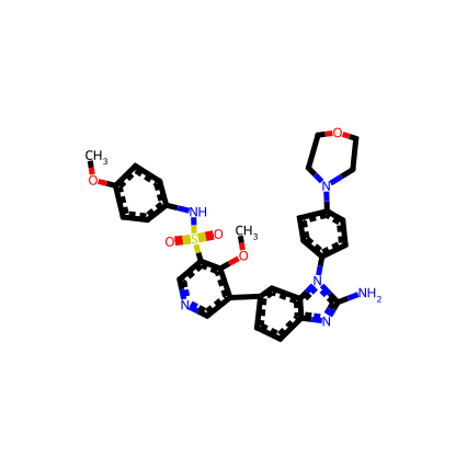 COc1ccc(NS(=O)(=O)c2cncc(-c3ccc4nc(N)n(-c5ccc(N6CCOCC6)cc5)c4c3)c2OC)cc1